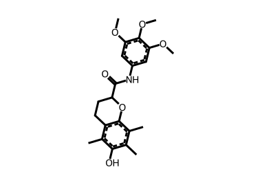 COc1cc(NC(=O)C2CCc3c(C)c(O)c(C)c(C)c3O2)cc(OC)c1OC